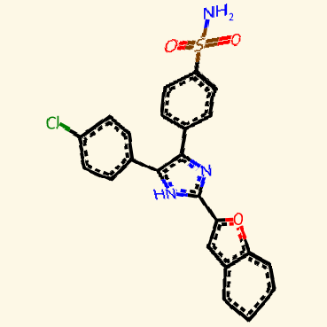 NS(=O)(=O)c1ccc(-c2nc(-c3cc4ccccc4o3)[nH]c2-c2ccc(Cl)cc2)cc1